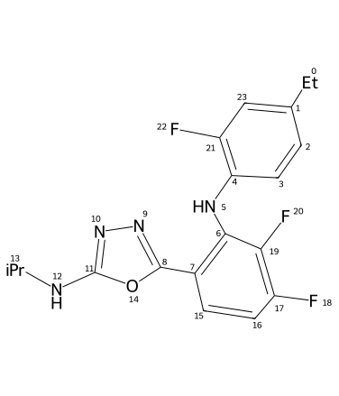 CCc1ccc(Nc2c(-c3nnc(NC(C)C)o3)ccc(F)c2F)c(F)c1